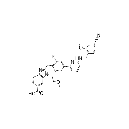 COCCn1c(Cc2ccc(-c3cccc(NCc4ccc(C#N)cc4OC)n3)cc2F)nc2ccc(C(=O)O)cc21